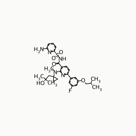 CC(C)COc1cc(F)cc(-c2ccc(C(=O)NS(=O)(=O)c3cccc(N)n3)c(N(C)C3(CC(C)(C)O)CC3)n2)c1